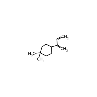 C=CC(=C)C1CCC(C)(C)CC1